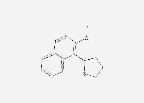 COc1ccc2ccccc2c1C1CCCS1